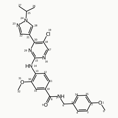 COc1ccc(CNC(=O)c2ccc(Nc3ncc(Cl)c(-c4cnn(C(C)C)c4)n3)c(OC)c2)cc1